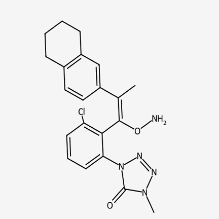 C/C(=C(\ON)c1c(Cl)cccc1-n1nnn(C)c1=O)c1ccc2c(c1)CCCC2